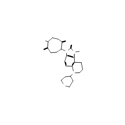 CC1CCC(=O)C(n2c(=O)n(C)c3c4c(ccc32)N(C2CCNCC2)CCC4)CCC1=O